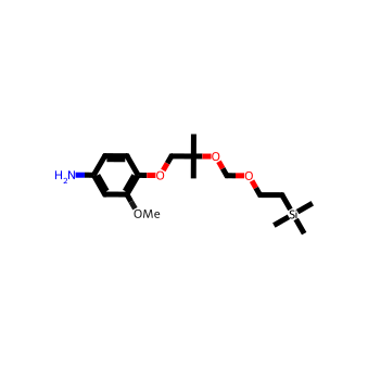 COc1cc(N)ccc1OCC(C)(C)OCOCC[Si](C)(C)C